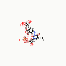 CCC(CO)(CO)CO.Cc1cn([C@H]2C[C@H](O)[C@@H](COP(=O)(O)O)O2)c(=O)[nH]c1=O.O=C1OC(=O)c2ccccc21